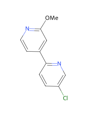 COc1cc(-c2ccc(Cl)cn2)ccn1